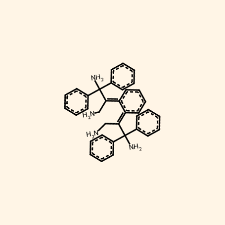 NCC(=c1ccccc1=C(CN)C(N)(c1ccccc1)c1ccccc1)C(N)(c1ccccc1)c1ccccc1